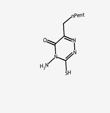 CCCCCCc1nnc(S)n(N)c1=O